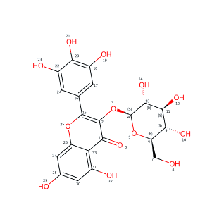 O=c1c(O[C@@H]2O[C@H](CO)[C@@H](O)[C@H](O)[C@H]2O)c(-c2cc(O)c(O)c(O)c2)oc2cc(O)cc(O)c12